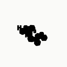 C[Si]1(C)c2ccccc2-c2nc(-c3cccc(-n4c5ccccc5c5c6c(ccc54)oc4ccccc46)c3)nc(-c3ccccc3)c21